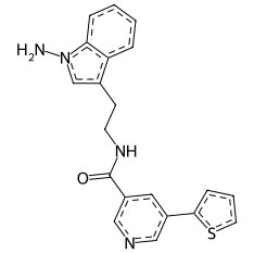 Nn1cc(CCNC(=O)c2cncc(-c3cccs3)c2)c2ccccc21